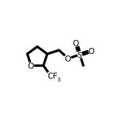 CS(=O)(=O)OCC1CCOC1C(F)(F)F